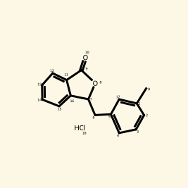 Cc1cccc(CC2OC(=O)c3ccccc32)c1.Cl